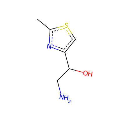 Cc1nc(C(O)CN)cs1